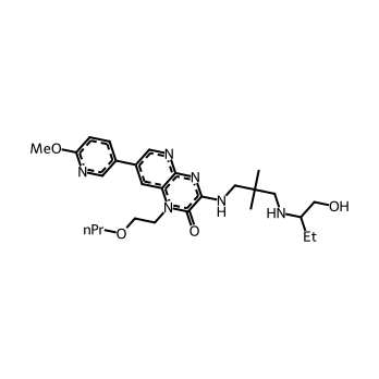 CCCOCCn1c(=O)c(NCC(C)(C)CNC(CC)CO)nc2ncc(-c3ccc(OC)nc3)cc21